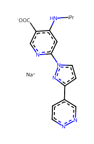 CC(C)Nc1cc(-n2ccc(-c3ccnnc3)n2)ncc1C(=O)[O-].[Na+]